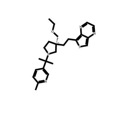 CCOC[C@@]1(CCc2scc3nccnc23)CCN(C(C)(C)c2ccc(C)nc2)C1